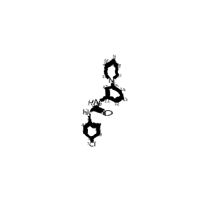 O=C(Nc1ccc(Cl)cc1)Nc1cccc(N2CCCCC2)c1